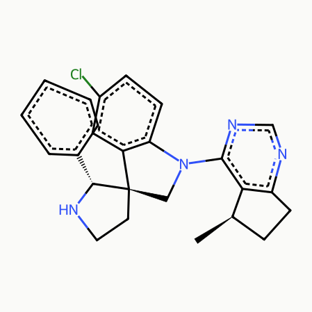 C[C@@H]1CCc2ncnc(N3C[C@]4(CCN[C@@H]4c4ccccc4)c4cc(Cl)ccc43)c21